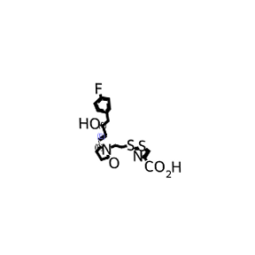 O=C(O)c1csc(SCCN2C(=O)CC[C@@H]2/C=C/[C@@H](O)Cc2ccc(F)cc2)n1